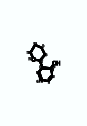 Oc1ccn[c]c1C1CCCCO1